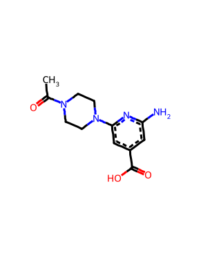 CC(=O)N1CCN(c2cc(C(=O)O)cc(N)n2)CC1